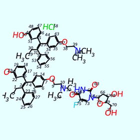 CC/C(=C(/c1ccc(OCCN(C)C)cc1)c1cccc(O)c1)c1ccccc1.CC/C(=C(/c1ccc(OCCN(C)C)cc1)c1cccc(O)c1)c1ccccc1.Cl.O=c1[nH]c(=O)n([C@H]2C[C@H](O)[C@@H](CO)O2)cc1F